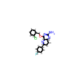 Nc1nc(OCc2ccccc2Cl)c2nc(-c3ccc(F)cc3)ccc2n1